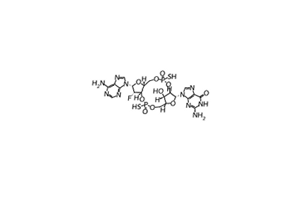 Nc1nc2c(ncn2[C@@H]2O[C@@H]3COP(=O)(S)O[C@@H]4[C@H](F)[C@H](n5cnc6c(N)ncnc65)O[C@@H]4COP(=O)(S)O[C@H]2[C@H]3O)c(=O)[nH]1